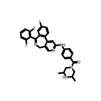 CC1CN(C(=O)c2ccc(Nc3cc4c(cn3)CN=C(c3c(F)cccc3F)c3cc(I)ccc3-4)cc2)CC(C)N1